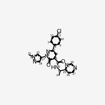 CC(NC(=O)c1cc(-c2ccc(Cl)cc2)nn(-c2cnn(C)c2)c1=O)c1ccncn1